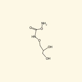 NOC(=O)NOCC(O)CO